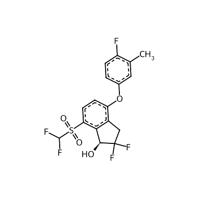 Cc1cc(Oc2ccc(S(=O)(=O)C(F)F)c3c2CC(F)(F)[C@H]3O)ccc1F